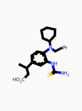 CC(C)CN(c1ccc(C(C)CC(=O)O)cc1NC(N)=S)C1CCCCC1